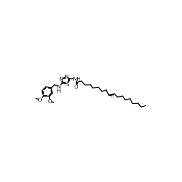 CCCCCCCC/C=C/CCCCCCCC(=O)Nc1nnc(NCc2ccc(OC)c(OC)c2)s1